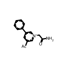 CC(=O)c1cc(-c2ccccc2)c[n+](CC(N)=O)c1